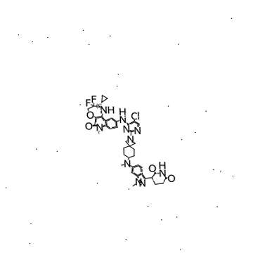 CN(c1ccc2c(C3CCC(=O)NC3=O)nn(C)c2c1)C1CCC2(CC1)CN(c1ncc(Cl)c(Nc3ccc4c(c3)c3c(c(=O)n4C)OCC(F)(F)[C@H](C4CC4)N3)n1)C2